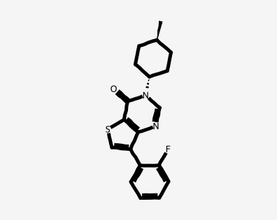 C[C@H]1CC[C@H](n2cnc3c(-c4ccccc4F)csc3c2=O)CC1